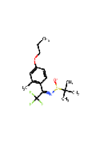 CCCOc1ccc(/C(=N\[S@@+]([O-])C(C)(C)C)C(F)(F)F)c(C)c1